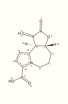 C=C1C(=O)O[C@@H]2CCCn3c(C(=O)O)ccc3[C@@H]12